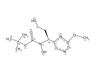 COc1cncc([C@H](CCO)N(O)C(=O)OC(C)(C)C)n1